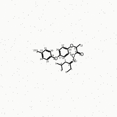 CCC(CC(C)C)=NOC(=O)C(C)Oc1ccc(Oc2ccc(I)cc2)cc1